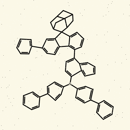 c1ccc(-c2ccc(N(c3ccc(-c4ccccc4)cc3)c3ccc(-c4cccc5c4-c4ccc(-c6ccccc6)cc4C54C5CC6CC(C5)CC4C6)c4ccccc34)cc2)cc1